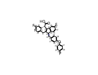 O=C(O)CC1=C(Cc2ccc(F)nc2)/C(=C/c2ccc(Oc3ccc(F)cc3)cc2)c2ccc(F)cc21